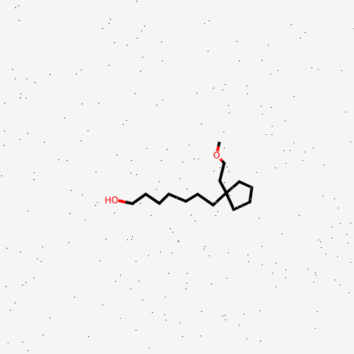 COCCC1(CCCCCCCO)CCCC1